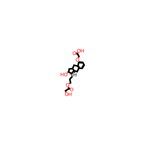 O=C(O)COc1cccc2c1CC1C[C@@H](O)[C@H](CCCOC(=O)CO)[C@H]1C2